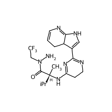 CC(C)[C@@](C)(NC1=NC(C2=CNC3=NC=CCC23)=NCC1)C(=O)N(N)CC(F)(F)F